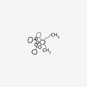 CCCCc1cc(CC)c(OC(=O)c2ccccc2)c(OC(=O)c2ccccc2)c1C1CCCCC1